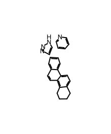 c1c[nH]nn1.c1ccc2c(c1)ccc1c3c(ccc12)CCCC3.c1ccncc1